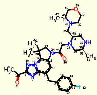 CC(=O)c1nc2c(Cc3ccc(F)cc3)cc3c(n2n1)C(C)(C)CN3C(=O)CN1C[C@@H](C)NC[C@@H]1CN1CCOC[C@H]1C